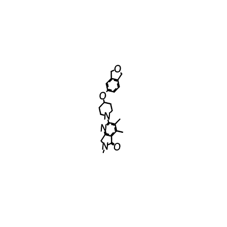 Cc1c(N2CCC(Oc3ccc4c(c3)COC4)CC2)nc2c(c1C)C(=O)N(C)C2